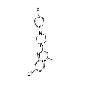 Cc1cc(N2CCN(c3ccc(F)cc3)CC2)nc2cc(Cl)ccc12